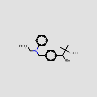 CCOC(=O)CN(Cc1ccc(C(C(C)(C)C)C(C)(C)C(=O)O)cc1)c1ccccc1